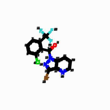 O=C(c1c(Cl)cccc1C(F)(F)F)n1nc(Br)c2ncccc21